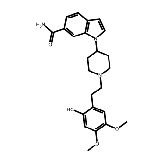 COc1cc(O)c(CCN2CCC(n3ccc4ccc(C(N)=O)cc43)CC2)cc1OC